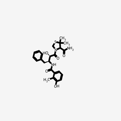 Cc1c(O)cccc1C(=O)N[C@@H](Cc1ccccc1)[C@H](O)C(=O)N1CSC(C)(C)C1C(N)=O